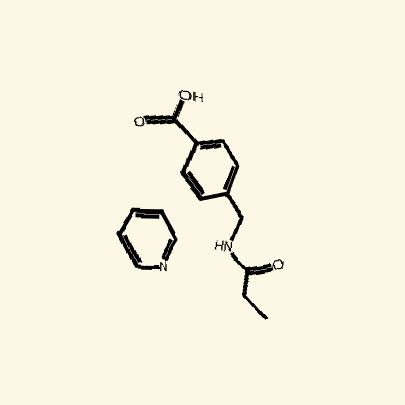 CCC(=O)NCc1ccc(C(=O)O)cc1.c1ccncc1